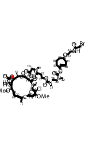 COc1cc2cc(c1Cl)N(C)C(=O)[C@H](OC(=O)[C@H](C)N(C)C(=O)CCOC(=O)N(C)CCN(C)C(=O)OC1/C=C/CC(OCCNC(=O)CBr)CCC1)[C@]1(C)OC1[C@H](C)[C@@H]1C[C@@](O)(NC(=O)O1)[C@H](OC)/C=C/C=C(\C)C2